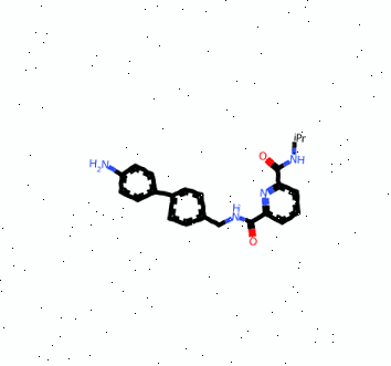 CC(C)NC(=O)c1cccc(C(=O)NCc2ccc(-c3ccc(N)cc3)cc2)n1